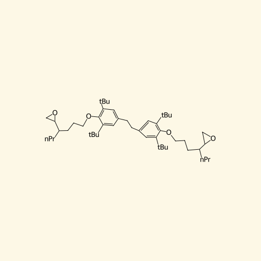 CCCC(CCCOc1c(C(C)(C)C)cc(CCc2cc(C(C)(C)C)c(OCCCC(CCC)C3CO3)c(C(C)(C)C)c2)cc1C(C)(C)C)C1CO1